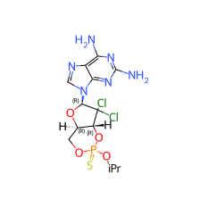 CC(C)OP1(=S)OC[C@H]2O[C@@H](n3cnc4c(N)nc(N)nc43)C(Cl)(Cl)[C@@H]2O1